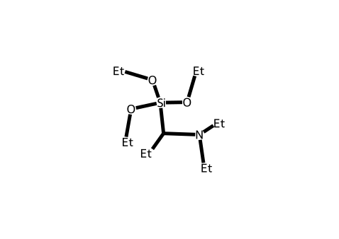 CCO[Si](OCC)(OCC)C(CC)N(CC)CC